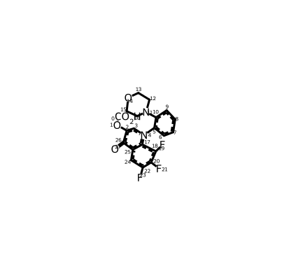 O=C(O)Oc1cn(-c2ccccc2N2CCOCC2)c2c(F)c(F)c(F)cc2c1=O